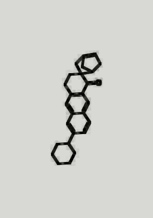 O=C1c2cc3ccc(C4CCCCC4)cc3cc2CCC12CC1=CCC2C1